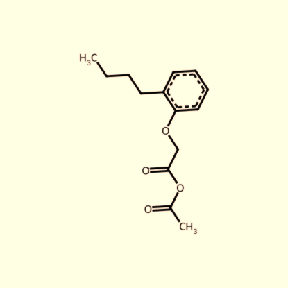 CCCCc1ccccc1OCC(=O)OC(C)=O